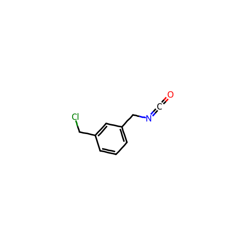 O=C=NCc1cccc(CCl)c1